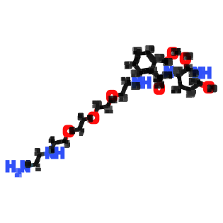 NCCNCCOCCOCCOCCNc1cccc2c1C(=O)N(C1CCC(=O)NC1=O)C2=O